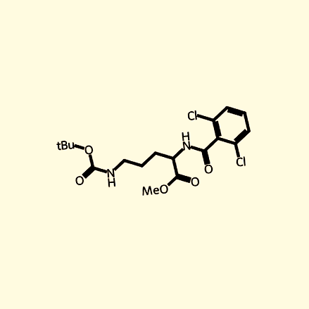 COC(=O)C(CCCNC(=O)OC(C)(C)C)NC(=O)c1c(Cl)cccc1Cl